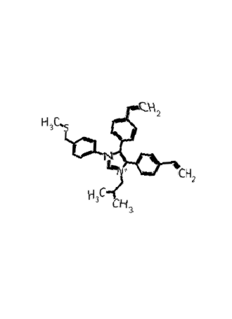 C=Cc1ccc(-c2c(-c3ccc(C=C)cc3)[n+](CC(C)C)cn2-c2ccc(CSC)cc2)cc1